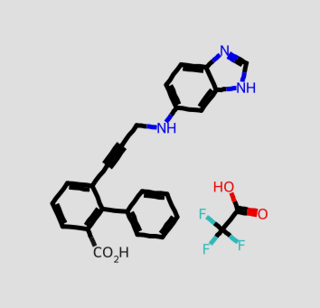 O=C(O)C(F)(F)F.O=C(O)c1cccc(C#CCNc2ccc3nc[nH]c3c2)c1-c1ccccc1